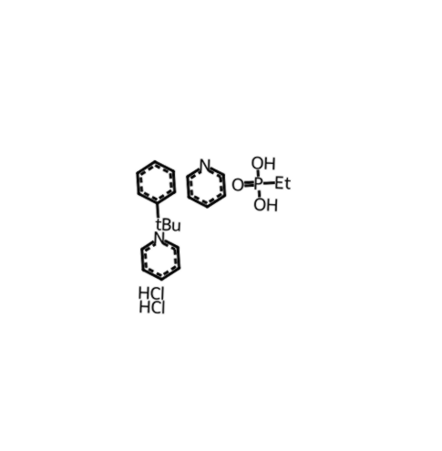 CC(C)(C)c1ccccc1.CCP(=O)(O)O.Cl.Cl.c1ccncc1.c1ccncc1